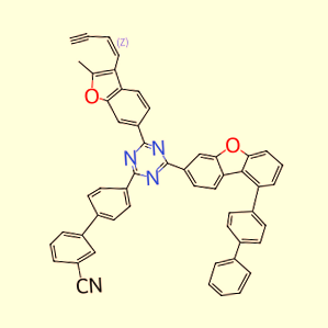 C#C/C=C\c1c(C)oc2cc(-c3nc(-c4ccc(-c5cccc(C#N)c5)cc4)nc(-c4ccc5c(c4)oc4cccc(-c6ccc(-c7ccccc7)cc6)c45)n3)ccc12